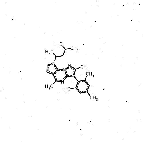 Cc1cc(C)c(-c2c(C)nn3c2nc(C)c2ccn(C(C)CC(C)C)c23)c(C)c1